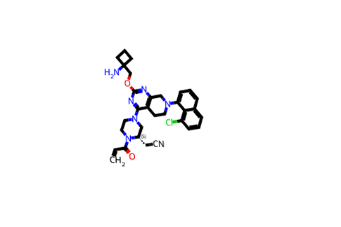 C=CC(=O)N1CCN(c2nc(OCC3(N)CCC3)nc3c2CCN(c2cccc4cccc(Cl)c24)C3)C[C@@H]1CC#N